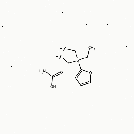 CC[Si](CC)(CC)c1ccco1.NC(=O)O